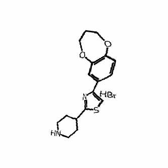 Br.c1cc2c(cc1-c1csc(C3CCNCC3)n1)OCCCO2